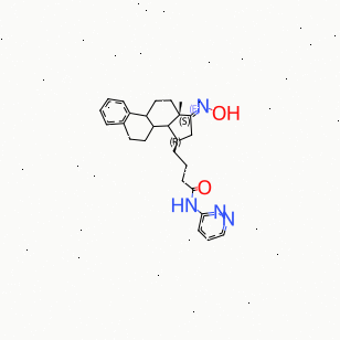 C[C@]12CCC3c4ccccc4CCC3C1[C@H](CCCC(=O)Nc1cccnn1)C/C2=N\O